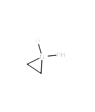 [O-][N+]1(P)CC1